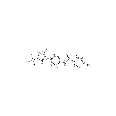 Cc1cc(F)ccc1C(=O)Nc1ccc(-c2nc(C(F)(F)F)oc2C)cn1